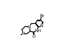 CN1CCN2Cc3cc(Br)cnc3NC(=O)C2C1